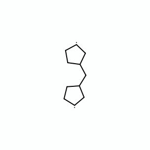 [CH]1CCC(CC2C[CH]CC2)C1